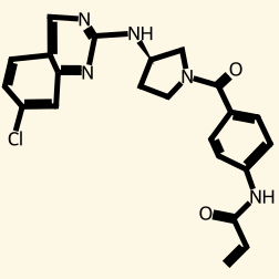 C=CC(=O)Nc1ccc(C(=O)N2CC[C@@H](Nc3ncc4ccc(Cl)cc4n3)C2)cc1